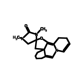 CN1CC2(CC34CCCCC3=CN3C=CCCC3=C4O2)N(C)C1=O